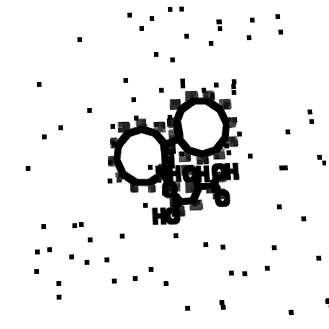 C1=C(C2=NNCCCCCCCC2)CCCCCCCCC1.O=C(O)CC(O)C(=O)O